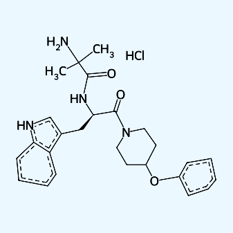 CC(C)(N)C(=O)N[C@H](Cc1c[nH]c2ccccc12)C(=O)N1CCC(Oc2ccccc2)CC1.Cl